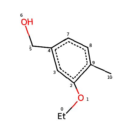 CCOc1cc([CH]O)ccc1C